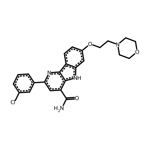 NC(=O)c1cc(-c2cccc(Cl)c2)nc2c1[nH]c1cc(OCCN3CCOCC3)ccc12